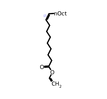 C=COC(=O)CCCCCCC/C=C\CCCCCCCC